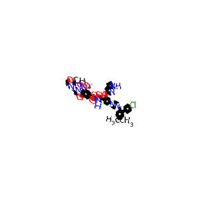 C[C@H]1CN(C[C@H]2COc3cc(S(=O)(=O)NC(=O)c4ccc(N5CCN(CC6=C(c7ccc(Cl)cc7)CC(C)(C)CC6)CC5)cc4Oc4cnc5[nH]ccc5c4)cc([N+](=O)[O-])c3N2)CCO1